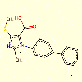 CSc1nc(C)n(-c2ccc(-c3ccccc3)cc2)c1C(=O)O